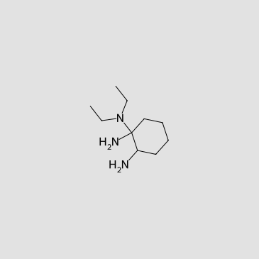 CCN(CC)C1(N)CCCCC1N